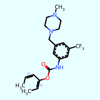 C/C=C\C(=C/C)OC(=O)Nc1cc(CN2CCN(C)CC2)cc(C(F)(F)F)c1